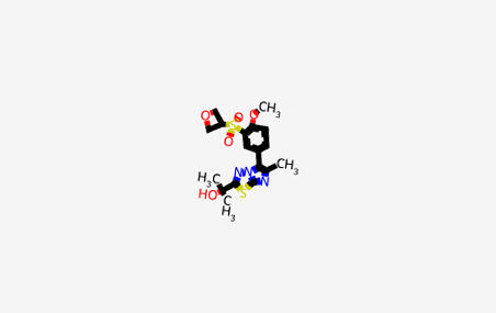 COc1ccc(-c2c(C)nc3sc(C(C)(C)O)nn23)cc1S(=O)(=O)C1COC1